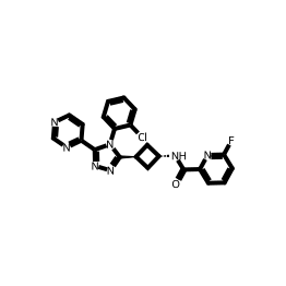 O=C(N[C@H]1C[C@H](c2nnc(-c3ccncn3)n2-c2ccccc2Cl)C1)c1cccc(F)n1